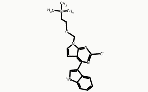 C[Si](C)(C)CCOCn1ccc2c(-c3c[nH]c4ccccc34)nc(Cl)nc21